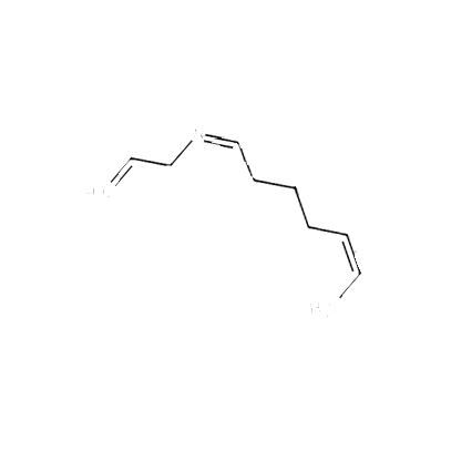 C=CC/N=C\CCC/C=C\C